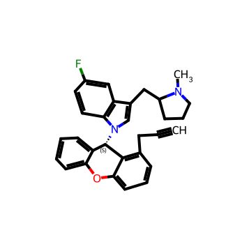 C#CCc1cccc2c1[C@@H](n1cc(CC3CCCN3C)c3cc(F)ccc31)c1ccccc1O2